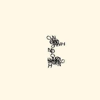 CN(C)[C@@H](C(=O)[C@@]1(C(=O)N(C(=O)[C@@H]2CCCN2)c2ccc(-c3cnc(-c4ccc(N(C(=O)[C@@H]5CCCN5)C(=O)[C@]5(C(=O)[C@@H](c6ccccc6)N(C)C)CCCN5)cc4)o3)cc2)CCCN1)c1ccccc1